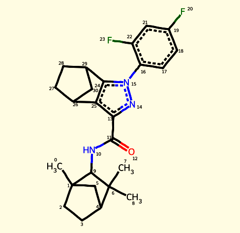 CC12CCC(C1)C(C)(C)C2NC(=O)c1nn(-c2ccc(F)cc2F)c2c1C1CCC2C1